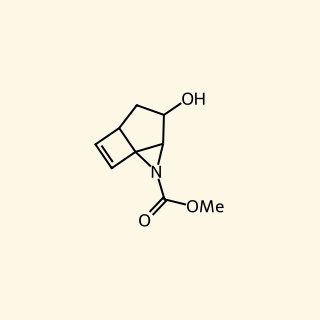 COC(=O)N1C2C(O)CC3C=CC321